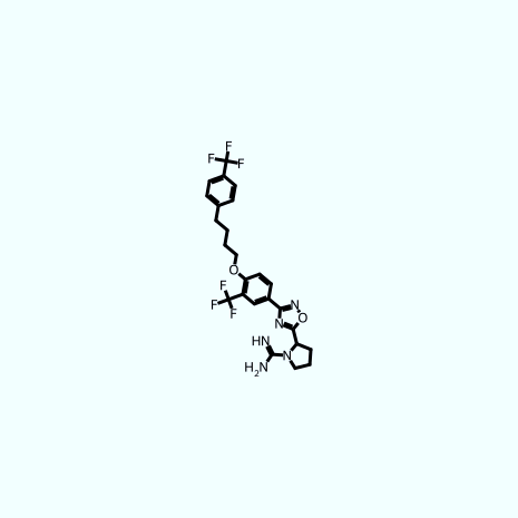 N=C(N)N1CCCC1c1nc(-c2ccc(OCCCCc3ccc(C(F)(F)F)cc3)c(C(F)(F)F)c2)no1